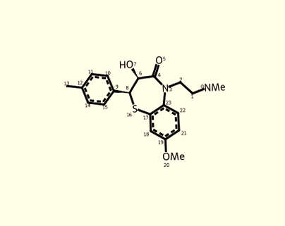 CNCCN1C(=O)[C@H](O)[C@H](c2ccc(C)cc2)Sc2cc(OC)ccc21